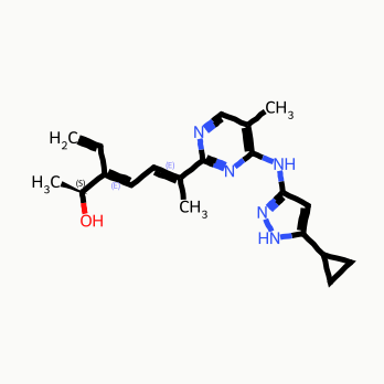 C=C/C(=C\C=C(/C)c1ncc(C)c(Nc2cc(C3CC3)[nH]n2)n1)[C@H](C)O